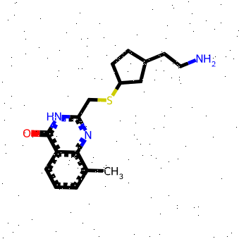 Cc1cccc2c(=O)[nH]c(CSC3CCC(CCN)C3)nc12